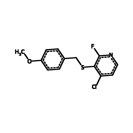 COc1ccc(CSc2c(Cl)ccnc2F)cc1